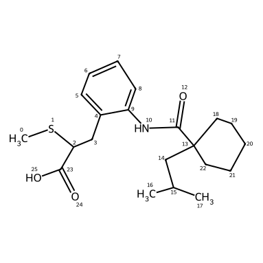 CSC(Cc1ccccc1NC(=O)C1(CC(C)C)CCCCC1)C(=O)O